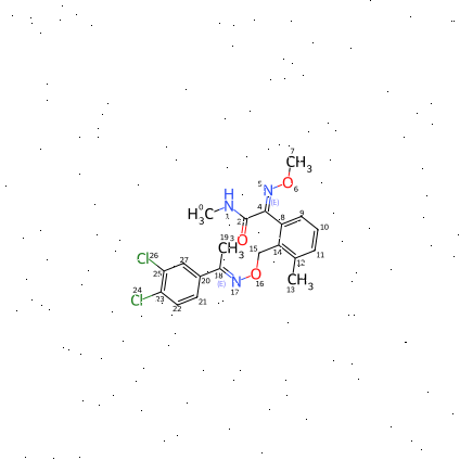 CNC(=O)/C(=N/OC)c1cccc(C)c1CO/N=C(\C)c1ccc(Cl)c(Cl)c1